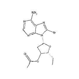 CC[C@H]1O[C@@H](n2c(Br)nc3c(N)ncnc32)CC1OC(C)=O